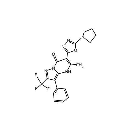 Cc1[nH]c2c(-c3ccccc3)c(C(F)(F)F)nn2c(=O)c1-c1nnc(N2CCCC2)o1